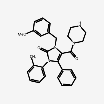 COc1cccc(Cn2c(C(=O)N3CCNCC3)c(-c3ccccc3)n(-c3ccccc3C)c2=O)c1